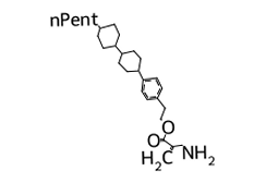 C=C(CN)C(=O)OCCc1ccc(C2CCC(C3CCC(CCCCC)CC3)CC2)cc1